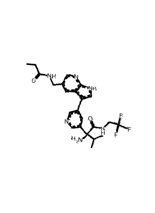 CCC(=O)NCc1cnc2[nH]cc(-c3cncc(C(N)(C(=O)NCC(F)(F)F)C(C)C)c3)c2c1